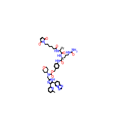 Cc1cccc(-c2nc(CN(C(=O)OCc3ccc(NC(=O)[C@H](CCCNC(N)=O)NC(=O)C(NC(=O)CCCCCN4C(=O)C=CC4=O)C(C)C)cc3)C3CCOCC3)[nH]c2-c2ccc3ncnn3c2)n1